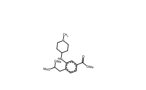 COC(=O)c1ccc(CC(OC)OC)c(NC2CCN(C)CC2)c1